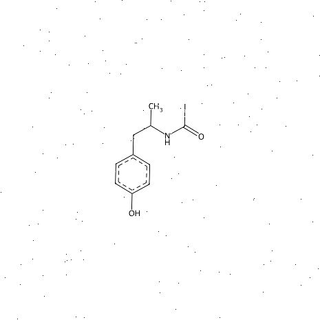 CC(Cc1ccc(O)cc1)NC(=O)I